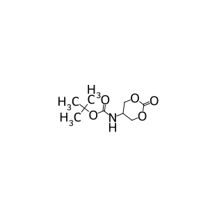 CC(C)(C)OC(=O)NC1COC(=O)OC1